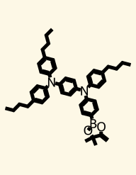 C=C1OB(c2ccc(N(c3ccc(CCCC)cc3)c3ccc(N(c4ccc(CCCC)cc4)c4ccc(CCCC)cc4)cc3)cc2)OC1(C)C